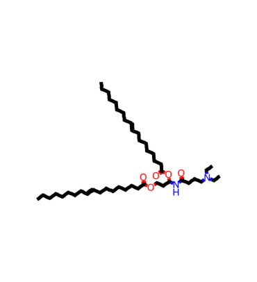 CCCCCCCCC=CCCCCCCCC(=O)OCCC(NC(=O)CCCN(CC)CC)OC(=O)CCCCCCCC=CCCCCCCCC